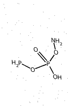 NOP(=O)(O)OP